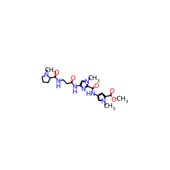 COC(=O)c1cc(NC(=O)c2nc(NC(=O)CCNC(=O)C3CCCN3C)cn2C)cn1C